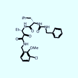 CC[C@H](NC(=O)[C@H](CC(C)C)NC(=O)NCc1ccccc1)C(=O)C(=O)NCc1cccc(Cl)c1OC